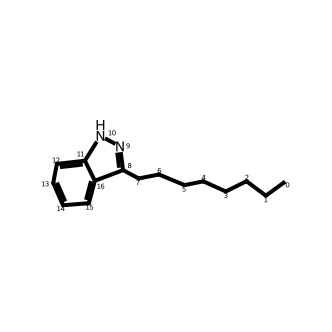 CCCCCCCCc1n[nH]c2ccccc12